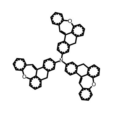 C1=C2c3ccc(N(c4ccc5c(c4)Cc4cccc6c4C5=Cc4ccccc4O6)c4ccc5c(c4)Cc4cccc6c4C5=Cc4ccccc4O6)cc3Cc3cccc(c32)Oc2ccccc21